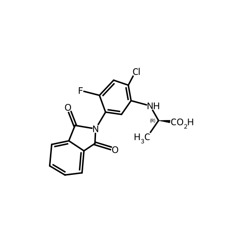 C[C@@H](Nc1cc(N2C(=O)c3ccccc3C2=O)c(F)cc1Cl)C(=O)O